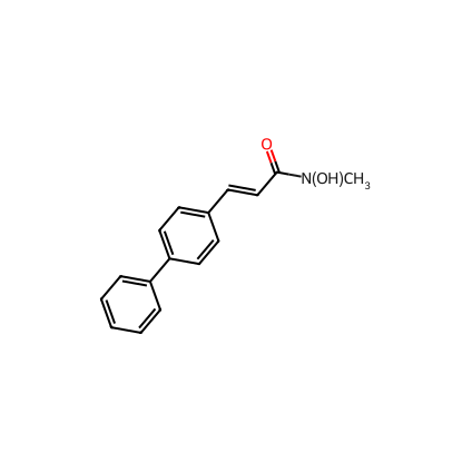 CN(O)C(=O)C=Cc1ccc(-c2ccccc2)cc1